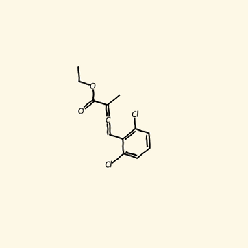 CCOC(=O)C(C)=C=Cc1c(Cl)cccc1Cl